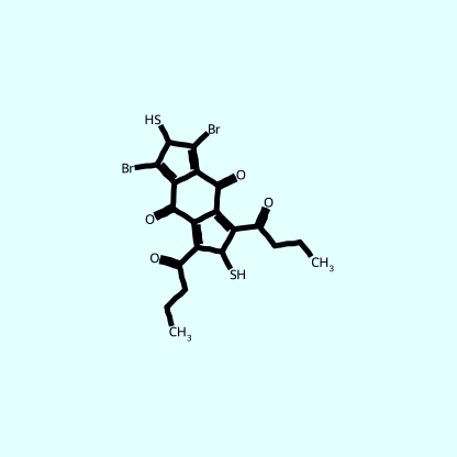 CCCC(=O)C1=C2C(=O)C3=C(Br)C(S)C(Br)=C3C(=O)C2=C(C(=O)CCC)C1S